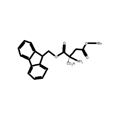 CC(C)(C)OC(=O)C[C@](N)(C(=O)O)C(=O)OCC1c2ccccc2-c2ccccc21